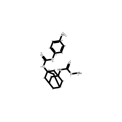 CC(C)(C)OC(=O)NC12CC3CC(C1)CC(OC(=O)Oc1ccc([N+](=O)[O-])cc1)(C3)C2